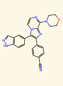 N#Cc1ccc(-c2nc3c(N4CCOCC4)nccn3c2-c2ccc3[nH]ncc3c2)cc1